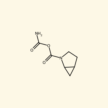 NC(=O)OC(=O)N1CCC2CC21